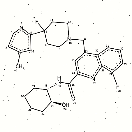 Cc1ccnc(C2(F)CCN(Cc3cc(C(=O)N[C@H]4CCCC[C@@H]4O)nc4c(F)cccc34)CC2)c1